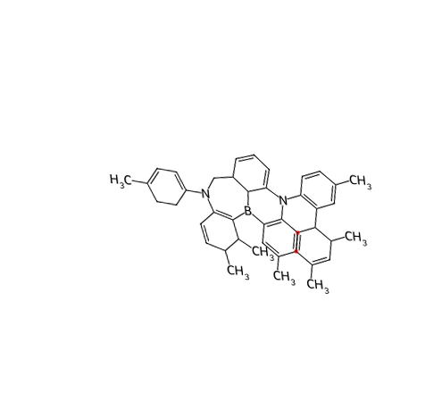 CC1=CC(C)C(c2cc(C)ccc2N2C3=CC=CC4CN(C5=CC=C(C)CC5)C5=C(B(c6cc(C)ccc62)C34)C(C)C(C)C=C5)C=C1